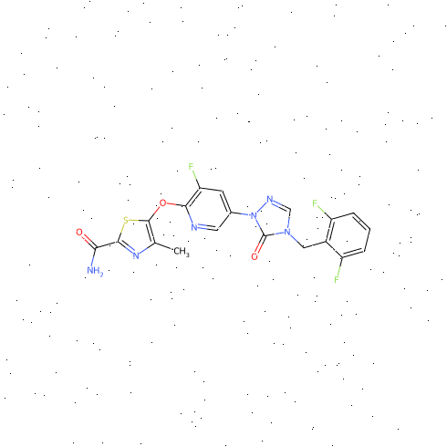 Cc1nc(C(N)=O)sc1Oc1ncc(-n2ncn(Cc3c(F)cccc3F)c2=O)cc1F